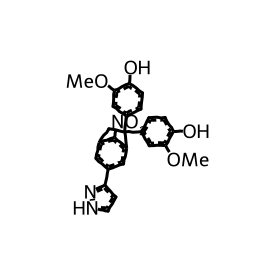 COc1cc(C2(c3ccc(O)c(OC)c3)Cc3cc(-c4cc[nH]n4)cc2c3[N+](=O)[O-])ccc1O